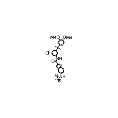 COc1ccc(C(C)(C)c2cc(Cl)cc(NC(=O)c3cc4cc(NS(C)(=O)=O)ccc4s3)c2)cc1OC